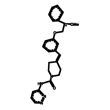 CO[C@@H](COc1cccc(C=C2CCN(C(=O)Nc3cccnn3)CC2)c1)c1ccccc1